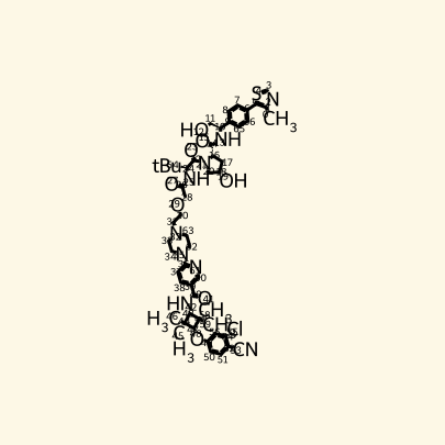 Cc1ncsc1-c1ccc([C@H](CO)NC(=O)[C@@H]2C[C@@H](O)CN2C(=O)[C@@H](NC(=O)COCCN2CCN(c3ccc(C(=O)N[C@H]4C(C)(C)[C@H](Oc5ccc(C#N)c(Cl)c5)C4(C)C)cn3)CC2)C(C)(C)C)cc1